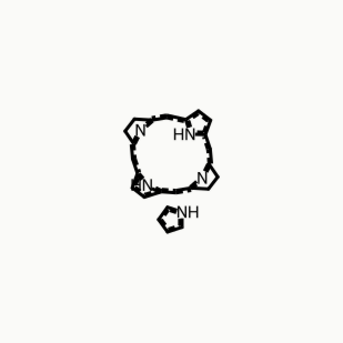 c1cc2cc3nc(cc4ccc(cc5nc(cc1[nH]2)CC5)[nH]4)CC3.c1cc[nH]c1